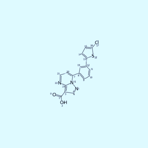 O=C(O)c1cnn2c(-c3cccc(-c4ccc(Cl)s4)c3)ccnc12